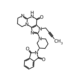 CC#CCn1c(N2CCC[C@@H](N3C(=O)c4ccccc4C3=O)C2)nc2c1C(=O)NC1=NCCCN12